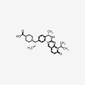 CC[C@@H](c1ccc([C@H](C)Nc2ncc3ccc(=O)n(C(C)C)c3n2)cc1)N1CCN(C(=O)O)CC1